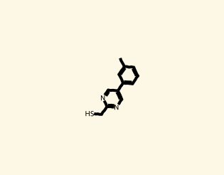 Cc1cccc(-c2cnc(CS)nc2)c1